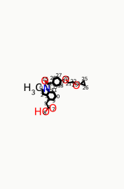 Cc1cc2c(CC(=O)O)cccc2n1C(=O)c1ccc(OCCOC2CC2)cc1